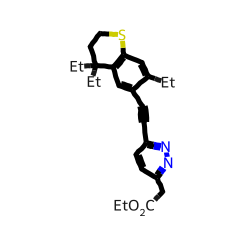 CCOC(=O)Cc1ccc(C#Cc2cc3c(cc2CC)SCCC3(CC)CC)nn1